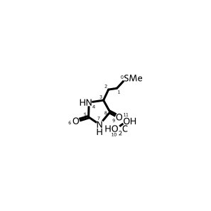 CSCCC1NC(=O)NC1=O.O=C(O)O